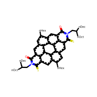 CCCCCCCCCCC(CCCCCCCC)Cn1c(=O)c2cc3c(CCCCCC)cc4cc5c(=O)n(CC(CCCCCCCC)CCCCCCCCCC)c(=S)c6cc7c(CCCCCC)cc8cc(c1=S)c2c1c8c7c(c56)c4c31